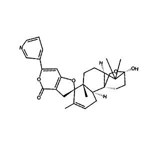 CC1=CC[C@@H]2[C@]34CC[C@](O)(OC3)C(C)(C)[C@@H]4CC[C@@]2(C)[C@]12Cc1c(cc(-c3cccnc3)oc1=O)O2